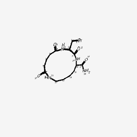 CC(C)CC1NC(=O)CCCC(=O)NCCCCC(C(N)=O)NC1=O